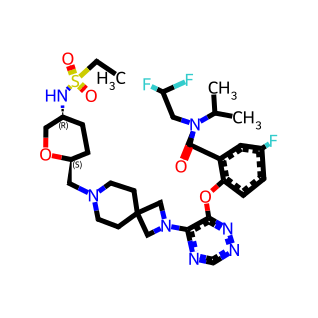 CCS(=O)(=O)N[C@@H]1CC[C@@H](CN2CCC3(CC2)CN(c2ncnnc2Oc2ccc(F)cc2C(=O)N(CC(F)F)C(C)C)C3)OC1